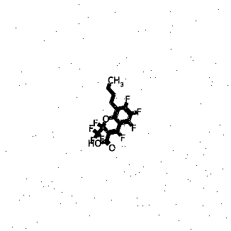 CCCCc1c(F)c(F)c(F)c2c1OC(F)(C(F)(F)F)C(C(=O)O)=C2F